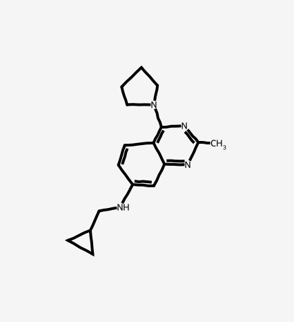 Cc1nc(N2CCCC2)c2ccc(NCC3CC3)cc2n1